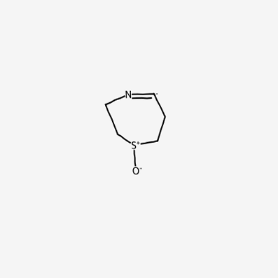 [O-][S+]1CC[C]=NCC1